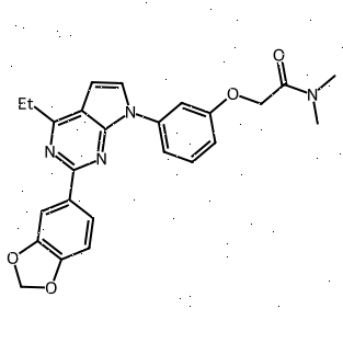 CCc1nc(-c2ccc3c(c2)OCO3)nc2c1ccn2-c1cccc(OCC(=O)N(C)C)c1